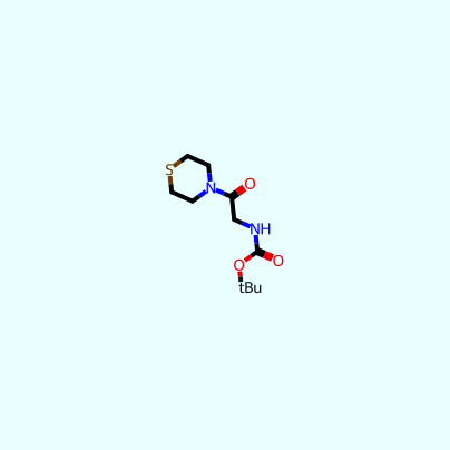 CC(C)(C)OC(=O)NCC(=O)N1CCSCC1